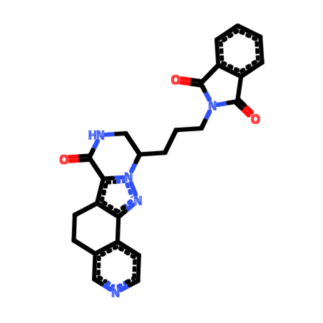 O=C1NCC(CCCN2C(=O)c3ccccc3C2=O)n2nc3c(c21)CCc1cnccc1-3